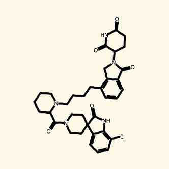 O=C1CCC(N2Cc3c(CCCCN4CCCCC4C(=O)N4CCC5(CC4)C(=O)Nc4c(Cl)cccc45)cccc3C2=O)C(=O)N1